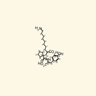 NCCCCCCCCC(CC1(C(=O)N[C@@H](Cc2ccc(O)cc2)C(=O)O)CCCC1)C(=O)O